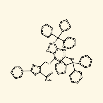 COC(=O)c1nn(-c2ccccc2)nc1COc1cc(NC(c2ccccc2)(c2ccccc2)c2ccccc2)nc2c1nnn2C(c1ccccc1)(c1ccccc1)c1ccccc1